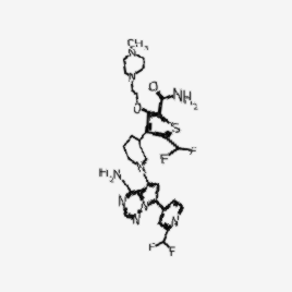 CN1CCN(CCOc2c(C(N)=O)sc(C(F)F)c2C2CCCN(c3cc(-c4ccnc(C(F)F)c4)n4ncnc(N)c34)C2)CC1